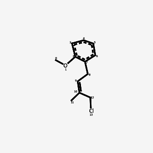 COc1ccccc1CC=C(C)CCl